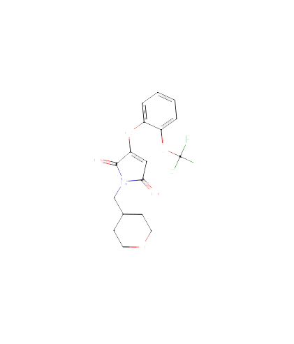 O=C1C=C(Oc2ccccc2OC(F)(F)F)C(=O)N1CC1CCOCC1